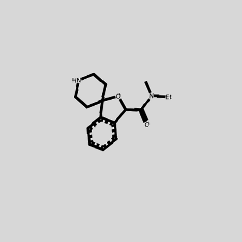 CCN(C)C(=O)C1OC2(CCNCC2)c2ccccc21